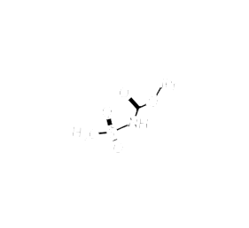 CC(C)OC(=O)NS(C)(=O)=O